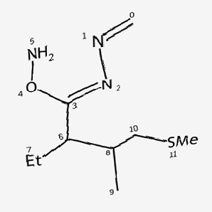 C=N/N=C(\ON)C(CC)C(C)CSC